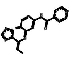 C=C1C=NC(NC(=O)c2ccncc2)=C/C1=N/C(=C\C)c1cncs1